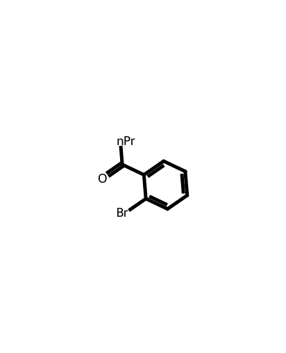 CCCC(=O)c1ccccc1Br